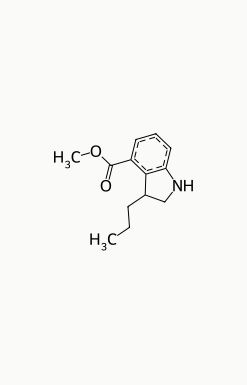 CCCC1CNc2cccc(C(=O)OC)c21